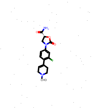 NC(=O)[C@H]1CN(c2ccc(C3=CCN(C=O)CC3)c(F)c2)C(=O)O1